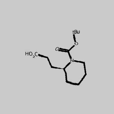 CC(C)(C)OC(=O)N1CCCC[C@H]1CCC(=O)O